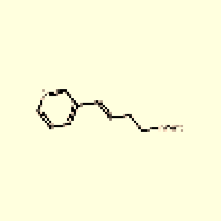 CCCCCCCC=Cc1cccnc1